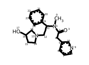 CN(C(=O)Cc1cccnc1)C(CN1CCC(O)C1)c1ccccc1